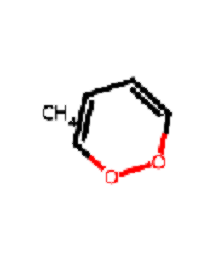 C.C1=COOC=C1